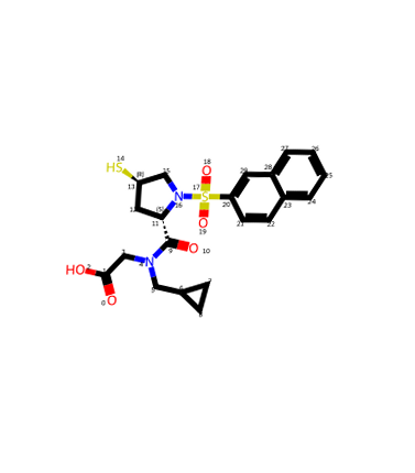 O=C(O)CN(CC1CC1)C(=O)[C@@H]1C[C@@H](S)CN1S(=O)(=O)c1ccc2ccccc2c1